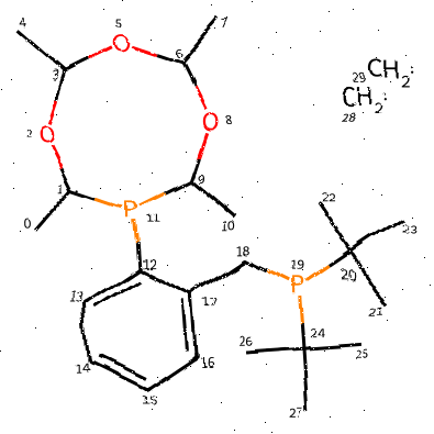 C[C]1OC(C)OC(C)OC(C)P1c1ccccc1CP(C(C)(C)C)C(C)(C)C.[CH2].[CH2]